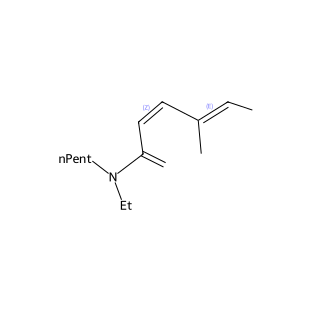 C=C(/C=C\C(C)=C\C)N(CC)CCCCC